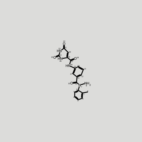 Cc1ccccc1N(N)C(=O)c1cccc(NC(=O)c2cc(=O)[nH]c(=O)[nH]2)c1